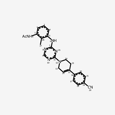 CC(=O)Nc1cccc(Nc2ncnc(N3CC=C(c4ccc(C#N)cc4)CC3)n2)c1C